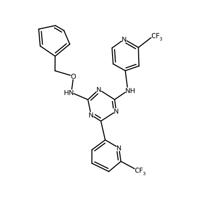 FC(F)(F)c1cc(Nc2nc(NOCc3ccccc3)nc(-c3cccc(C(F)(F)F)n3)n2)ccn1